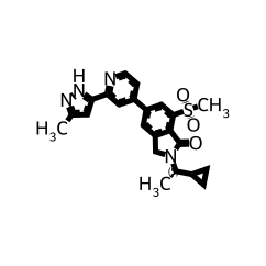 Cc1cc(-c2cc(-c3cc4c(c(S(C)(=O)=O)c3)C(=O)N([C@@H](C)C3CC3)C4)ccn2)[nH]n1